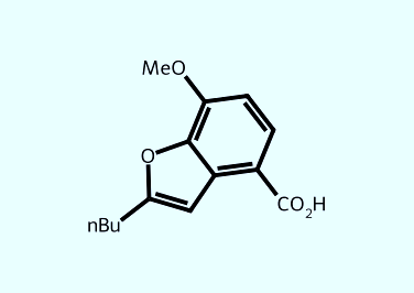 CCCCc1cc2c(C(=O)O)ccc(OC)c2o1